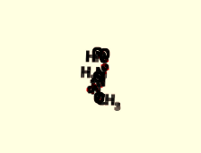 COCCCn1c(C2CCCN(C(=O)C[C@H](N)Cc3ccc(-c4ccc5c(c4)NC(=O)CO5)cc3)C2)c(I)c2ccccc21